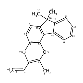 C=CC1=C(C)Oc2c(ccc3c2-c2ccccc2C3(C)C)O1